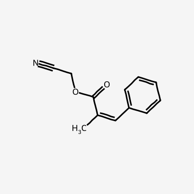 CC(=Cc1ccccc1)C(=O)OCC#N